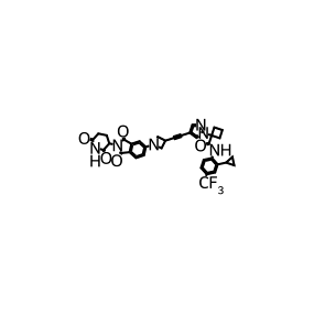 O=C1CCC(N2C(=O)c3ccc(N4CC(C#Cc5cnn(C6(C(=O)Nc7ccc(C(F)(F)F)cc7C7CC7)CCC6)c5)C4)cc3C2=O)C(=O)N1